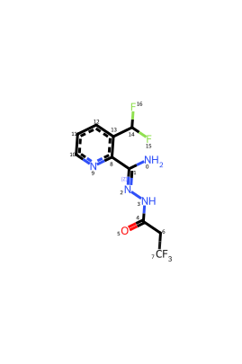 N/C(=N\NC(=O)CC(F)(F)F)c1ncccc1C(F)F